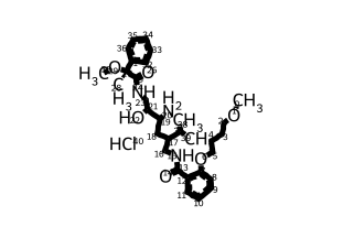 COCCCCOc1ccccc1C(=O)NCC(CC(N)C(O)CNC(=O)[C@](C)(OC)c1ccccc1)C(C)C.Cl